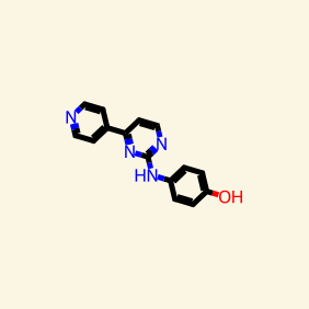 Oc1ccc(Nc2nccc(-c3ccncc3)n2)cc1